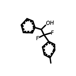 Cc1ccc(C(F)(F)C(O)c2ccccc2)cc1